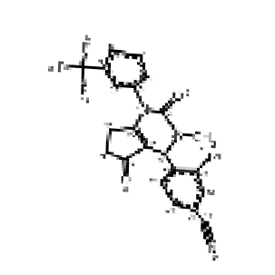 CN1C(=O)N(c2cccc(C(F)(F)F)c2)C2=C(C(=O)CC2)C1c1ccc(C#N)cc1I